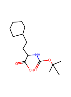 CC(C)(C)OC(=O)NC(CCC1CCCCC1)C(=O)O